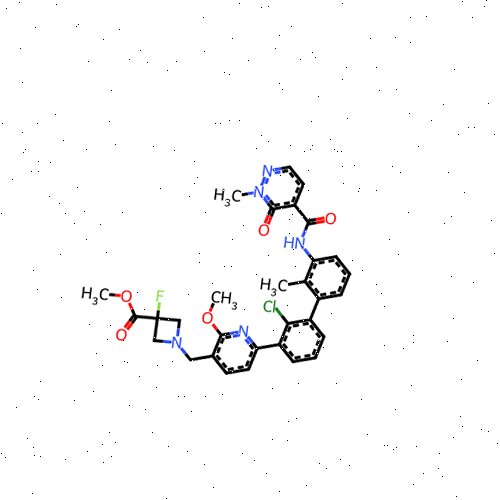 COC(=O)C1(F)CN(Cc2ccc(-c3cccc(-c4cccc(NC(=O)c5ccnn(C)c5=O)c4C)c3Cl)nc2OC)C1